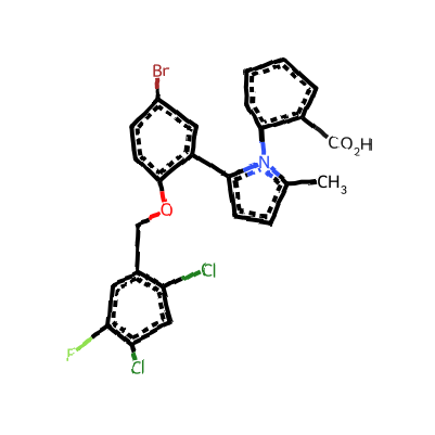 Cc1ccc(-c2cc(Br)ccc2OCc2cc(F)c(Cl)cc2Cl)n1-c1ccccc1C(=O)O